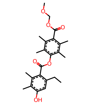 CCc1cc(O)c(C)c(C)c1C(=O)Oc1c(C)c(C)c(C(=O)OCOC)c(C)c1C